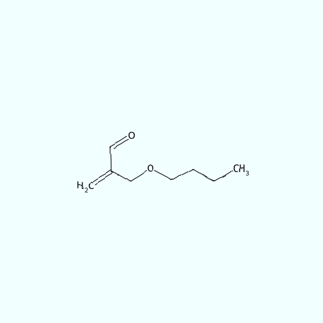 C=C(C=O)COCCCC